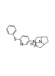 CN1C2CCC1CN(c1ccc(Sc3ccccc3)nc1)CC2